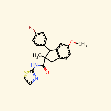 COc1ccc2c(c1)C(c1ccc(Br)cc1)C(C)(C(=O)Nc1nccs1)C2